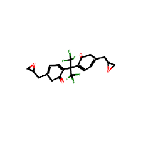 O=C1CC(CC2CO2)=CC=C1C(C1=CC=C(CC2CO2)CC1=O)(C(F)(F)F)C(F)(F)F